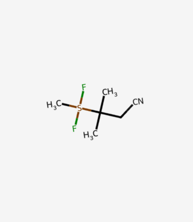 CC(C)(CC#N)S(C)(F)F